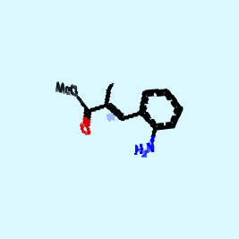 COC(=O)/C(C)=C/c1ccccc1N